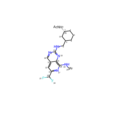 CC(=O)N[C@@H]1CCCC(CNc2ncc3cc(C(F)F)nc(NC(C)C)c3n2)C1